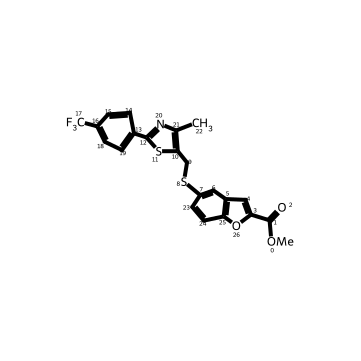 COC(=O)c1cc2cc(SCc3sc(-c4ccc(C(F)(F)F)cc4)nc3C)ccc2o1